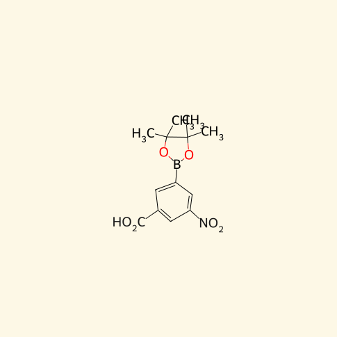 CC1(C)OB(c2cc(C(=O)O)cc([N+](=O)[O-])c2)OC1(C)C